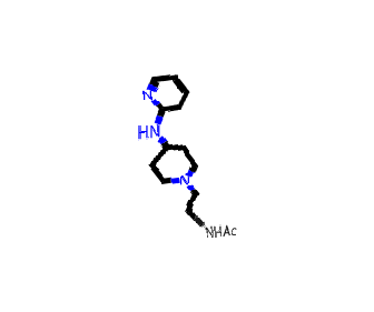 CC(=O)NCCN1CCC(NC2CC=CC=N2)CC1